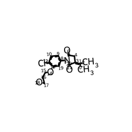 CC(C)=C1CC(=O)N(c2ccc(Cl)c(OCC3CO3)c2)C1=O